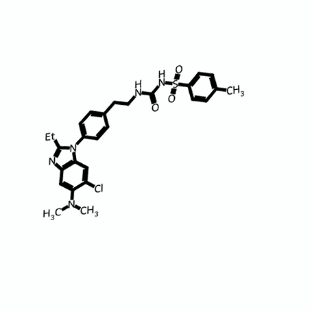 CCc1nc2cc(N(C)C)c(Cl)cc2n1-c1ccc(CCNC(=O)NS(=O)(=O)c2ccc(C)cc2)cc1